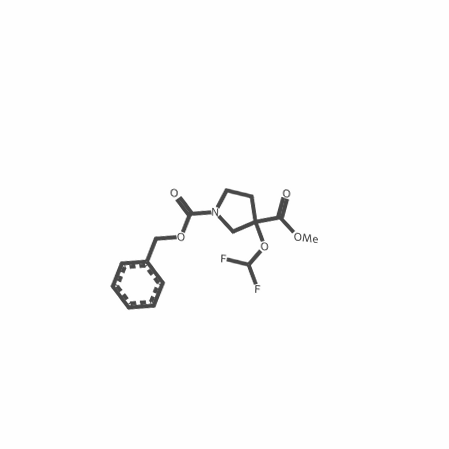 COC(=O)C1(OC(F)F)CCN(C(=O)OCc2ccccc2)C1